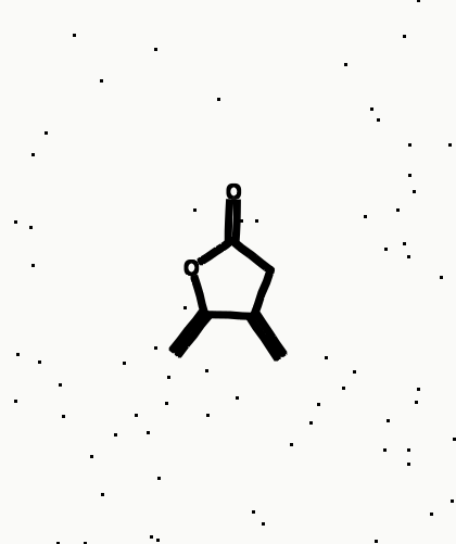 C=C1CC(=O)OC1=C